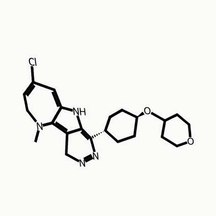 CN1CC=C(Cl)C=c2[nH]c3c(c21)CN=NC=3[C@H]1CC[C@H](OC2CCOCC2)CC1